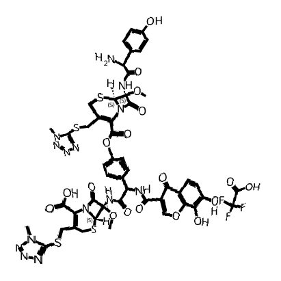 CO[C@@]1(NC(=O)C(NC(=O)c2coc3c(O)c(O)ccc3c2=O)c2ccc(OC(=O)C3=C(CSc4nnnn4C)CS[C@@H]4N3C(=O)[C@]4(NC(=O)C(N)c3ccc(O)cc3)OC)cc2)C(=O)N2C(C(=O)O)=C(CSc3nnnn3C)CS[C@H]21.O=C(O)C(F)(F)F